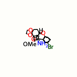 COC(=O)[C@]1(N)c2cc(Br)ccc2O[C@H]2CCC3(C[C@@H]21)OCCO3